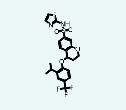 CC(C)c1cc(C(F)(F)F)ccc1OC1CCOc2cc(S(=O)(=O)Nc3nccs3)ccc21